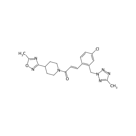 Cc1nnn(Cc2cc(Cl)ccc2/C=C/C(=O)N2CCC(c3noc(C)n3)CC2)n1